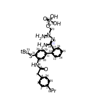 CC(C)c1ccc(CC(=O)Nc2cc(-c3ccccc3/C(N)=N/N(N)COP(=O)(O)O)ccc2SC(C)(C)C)cc1